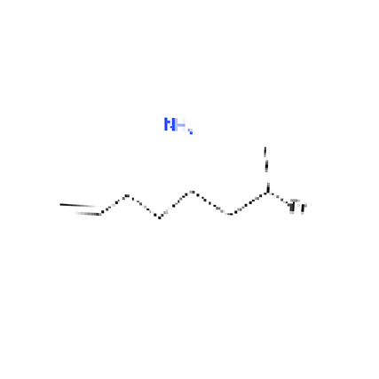 C=CCCCCC(C)C(C)C.N